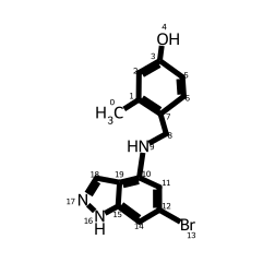 Cc1cc(O)ccc1CNc1cc(Br)cc2[nH]ncc12